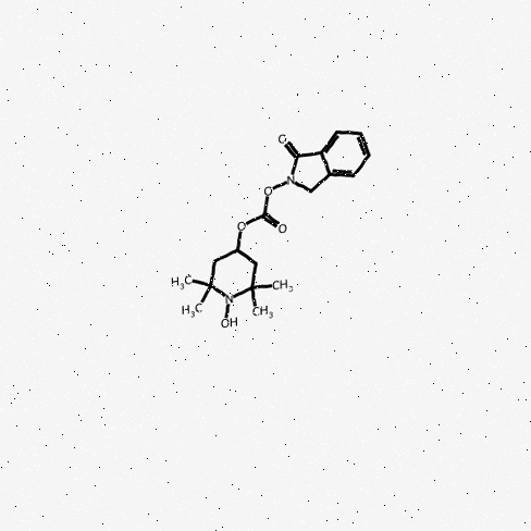 CC1(C)CC(OC(=O)ON2Cc3ccccc3C2=O)CC(C)(C)N1O